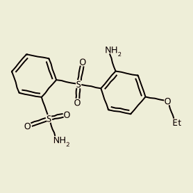 CCOc1ccc(S(=O)(=O)c2ccccc2S(N)(=O)=O)c(N)c1